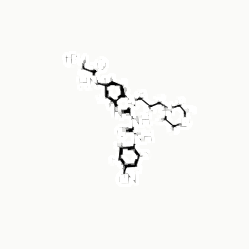 CC(C)(C)CC(=O)Nc1ccc2c(c1)nc(NC(=O)Nc1ccc(C#N)cc1)n2CCCN1CCOCC1